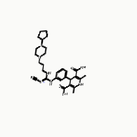 CC1=C(C(=O)O)C(c2cccc(N/C(=N/C#N)NCCCN3CCN(C4CCCC4)CC3)c2)C(C(=O)O)=C(C)N1